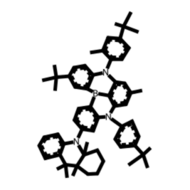 Cc1cc2c3c(c1)N(c1ccc(C(C)(C)C)cc1C)c1ccc(C(C)(C)C)cc1B3c1ccc(N3c4ccccc4C(C)(C)C4(C)CCCCC34C)cc1N2c1ccc(C(C)(C)C)cc1